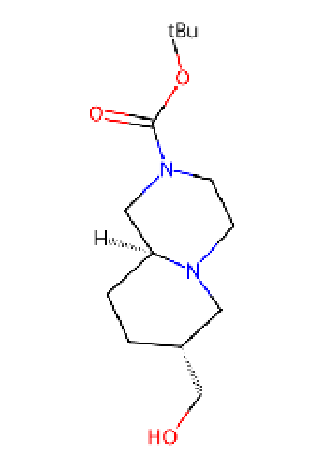 CC(C)(C)OC(=O)N1CCN2C[C@H](CO)CC[C@H]2C1